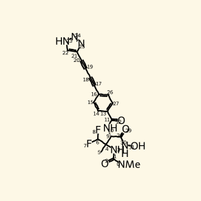 CNC(=O)NC(C)(C(F)F)[C@H](NC(=O)c1ccc(C#CC#Cc2c[nH]nn2)cc1)C(=O)NO